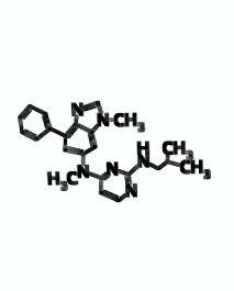 CC(C)CNc1nccc(N(C)c2cc(-c3ccccc3)c3ncn(C)c3c2)n1